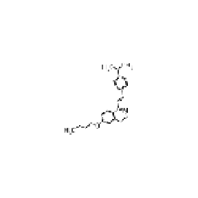 CCCCOc1ccc2c(c1)CCN=C2C=Cc1ccc(C(C)C)cc1